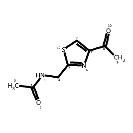 CC(=O)NCc1nc(C(C)=O)cs1